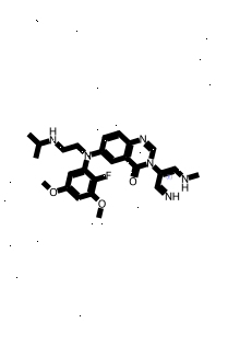 CN/C=C(\C=N)n1cnc2ccc(N(CCNC(C)C)c3cc(OC)cc(OC)c3F)cc2c1=O